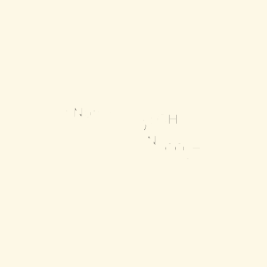 CCCCCCCCCCCCCC(=O)N[C@@H](C(=O)O)C(C)O